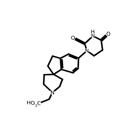 O=C(O)CN1CCC2(CCc3cc(N4CCC(=O)NC4=O)ccc32)CC1